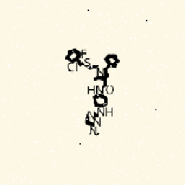 Cc1c(C(=O)NC2CCC(Nc3nccc(N(C)C)n3)CC2)cc(-c2ccccc2)n1CCSCc1c(F)cccc1Cl